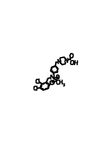 CS(=O)(=O)N(Cc1cccc(Cl)c1Cl)c1ccc(CN2CCN(C(=O)O)CC2)cc1